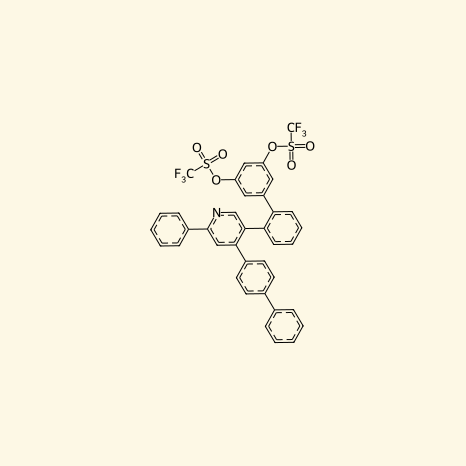 O=S(=O)(Oc1cc(OS(=O)(=O)C(F)(F)F)cc(-c2ccccc2-c2cnc(-c3ccccc3)cc2-c2ccc(-c3ccccc3)cc2)c1)C(F)(F)F